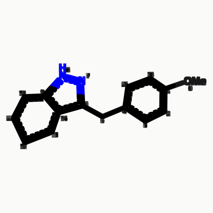 COc1ccc(Cc2n[nH]c3ccccc23)cc1